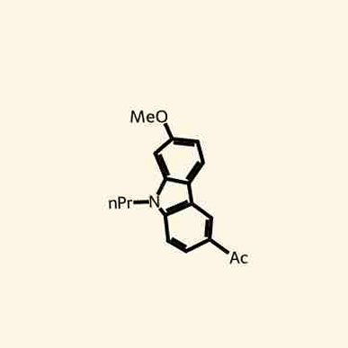 CCCn1c2ccc(C(C)=O)cc2c2ccc(OC)cc21